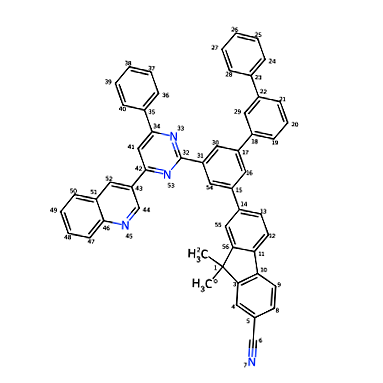 CC1(C)c2cc(C#N)ccc2-c2ccc(-c3cc(-c4cccc(-c5ccccc5)c4)cc(-c4nc(-c5ccccc5)cc(-c5cnc6ccccc6c5)n4)c3)cc21